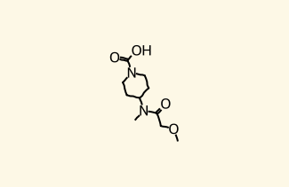 COCC(=O)N(C)C1CCN(C(=O)O)CC1